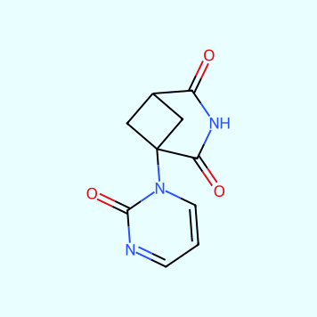 O=C1NC(=O)C2(n3cccnc3=O)CC1C2